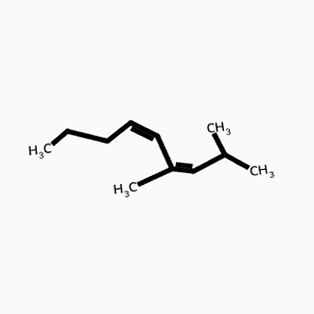 CCC/C=C\C(C)=C/C(C)C